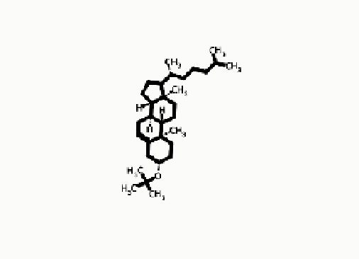 CC(C)CCC[C@@H](C)C1CC[C@H]2[C@@H]3CC=C4C[C@@H](OC(C)(C)C)CC[C@]4(C)[C@H]3CC[C@]12C